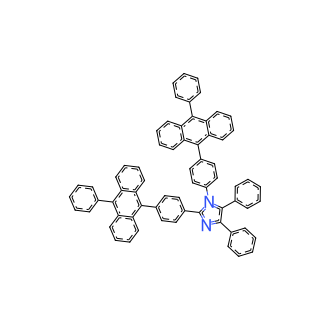 c1ccc(-c2nc(-c3ccc(-c4c5ccccc5c(-c5ccccc5)c5ccccc45)cc3)n(-c3ccc(-c4c5ccccc5c(-c5ccccc5)c5ccccc45)cc3)c2-c2ccccc2)cc1